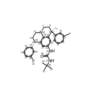 Cc1cccc([C@]2(C)CCN3CC[C@@H](c4cccc(F)c4)c4cc(NC(=O)NC(C)(C)C)cc2c43)c1